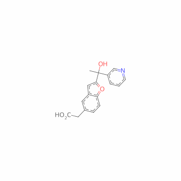 CC(O)(c1cccnc1)c1cc2cc(CC(=O)O)ccc2o1